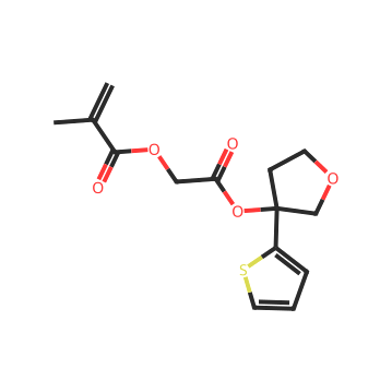 C=C(C)C(=O)OCC(=O)OC1(c2cccs2)CCOC1